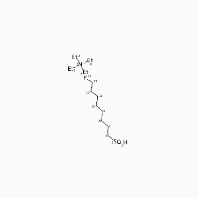 CC[N+](CC)(CC)CC.O=S(=O)(O)CCCCCCCCF